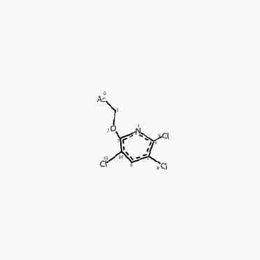 CC(=O)COc1nc(Cl)c(Cl)cc1Cl